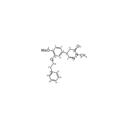 COc1ccc(C2C=NN(C)C(=O)C2)cc1OCCc1ccccc1